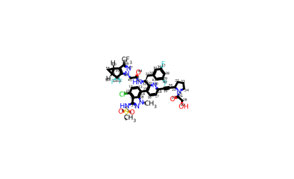 Cn1nc(NS(C)(=O)=O)c2c(Cl)ccc(-c3ccc(C#CC4CCCN4C(=O)CO)nc3[C@H](Cc3cc(F)cc(F)c3)NC(=O)Cn3nc(C(F)(F)F)c4c3C(F)(F)[C@@H]3C[C@H]43)c21